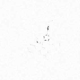 CC(C)CC#Cc1cc(N(C(=O)C2CCC(C)CC2)C2CCC(O)CC2)c(C(=O)O)s1